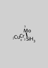 [Cr].[Cu].[SiH3][Mo]